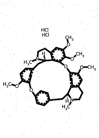 COc1ccc2cc1Oc1ccc(cc1)C[C@H]1c3cc(c(OC)cc3CCN1C)Oc1c(OC)c(OC)cc3c1[C@H](C2)N(C)CC3.Cl.Cl